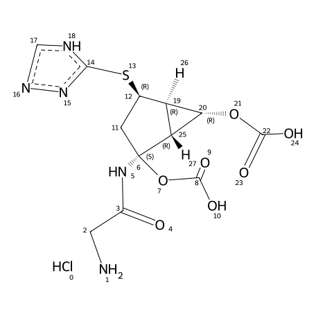 Cl.NCC(=O)N[C@]1(OC(=O)O)C[C@@H](Sc2nnc[nH]2)[C@H]2[C@H](OC(=O)O)[C@@H]21